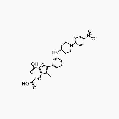 Cc1c(-c2cccc(NC3CCN(c4ccc([N+](=O)[O-])cn4)CC3)c2)sc(C(=O)O)c1OCC(=O)O